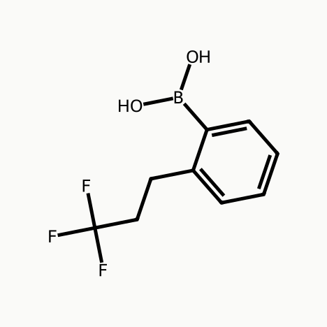 OB(O)c1ccccc1CCC(F)(F)F